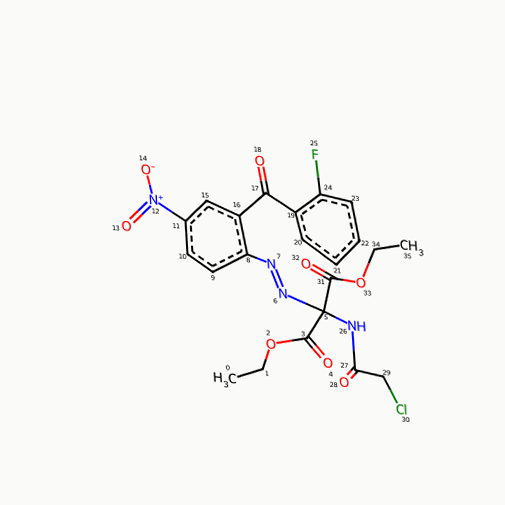 CCOC(=O)C(/N=N/c1ccc([N+](=O)[O-])cc1C(=O)c1ccccc1F)(NC(=O)CCl)C(=O)OCC